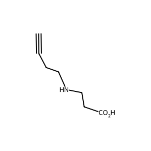 C#CCCNCCC(=O)O